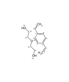 C=Cc1ccc(C=C)cc1.OCCOCCO